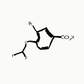 CC(C)c1cc(C(=O)O)ccc1OC(F)F